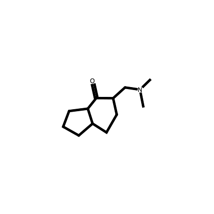 CN(C)CC1CCC2CCCC2C1=O